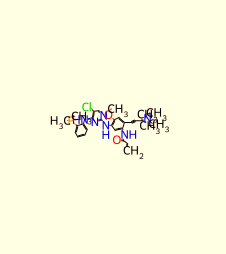 C=CC(=O)Nc1cc(Nc2ncc(Cl)c(Nc3ccccc3P(C)C)n2)c(OC)cc1C#CC(C)(C)N(C)C